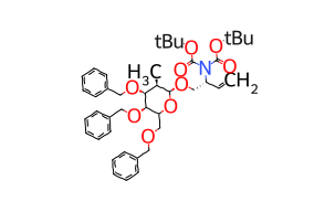 C=C[C@H](CO[C@H]1OC(COCc2ccccc2)[C@@H](OCc2ccccc2)[C@@H](OCc2ccccc2)[C@H]1C)N(C(=O)OC(C)(C)C)C(=O)OC(C)(C)C